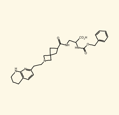 O=C(NC(CNC(=O)C1CC2(C1)CN(CCc1ccc3c(n1)NCCC3)C2)C(=O)O)OCc1ccccc1